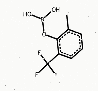 Cc1cccc(C(F)(F)F)c1OB(O)O